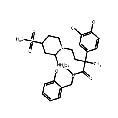 CN(Cc1ccccc1Cl)C(=O)C(C)(CCN1CCC(S(C)(=O)=O)CC1N)c1ccc(Cl)c(Cl)c1